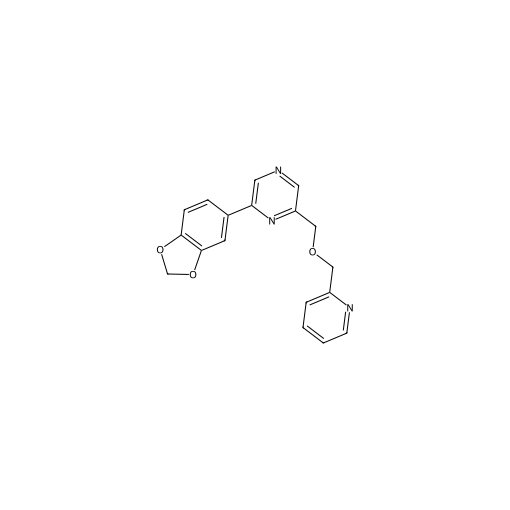 c1ccc(COCc2cncc(-c3ccc4c(c3)OCO4)n2)nc1